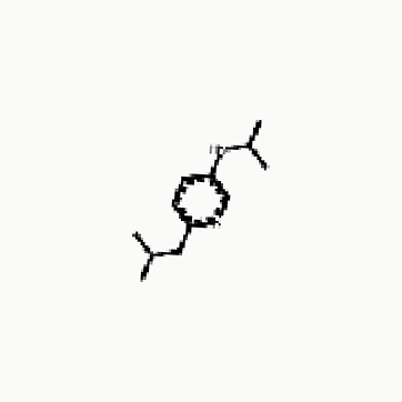 CC(C)Cc1ccc(NC(C)C)cn1